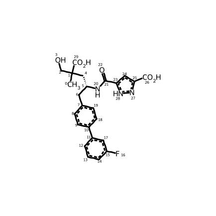 CC(CO)(C[C@@H](Cc1ccc(-c2cccc(F)c2)cc1)NC(=O)c1cc(C(=O)O)n[nH]1)C(=O)O